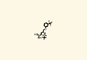 CC(C)(C)[Si](C)(C)OC(C=CB(O)O)COc1cccc(C(F)(F)F)c1